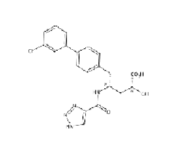 O=C(N[C@H](Cc1ccc(-c2cccc(Cl)c2)cc1)C[C@@H](O)C(=O)O)c1c[nH]nn1